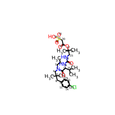 CCCN(CC(C)(C)Cc1ccc(Cl)cc1)C(=O)[C@H](NC(=O)NCC(C)(C)OC(=O)CS(=O)(=O)O)C(C)C